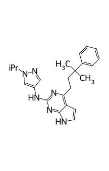 CC(C)n1cc(Nc2nc(CCC(C)(C)c3ccccc3)c3cc[nH]c3n2)cn1